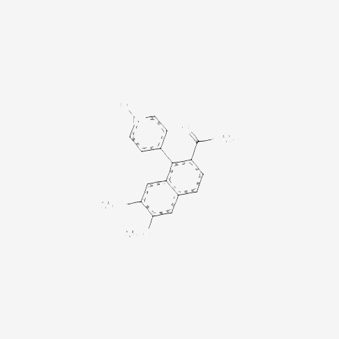 COC(=O)c1ccc2cc(OC)c(OC)cc2c1-c1cc[n+]([O-])cc1